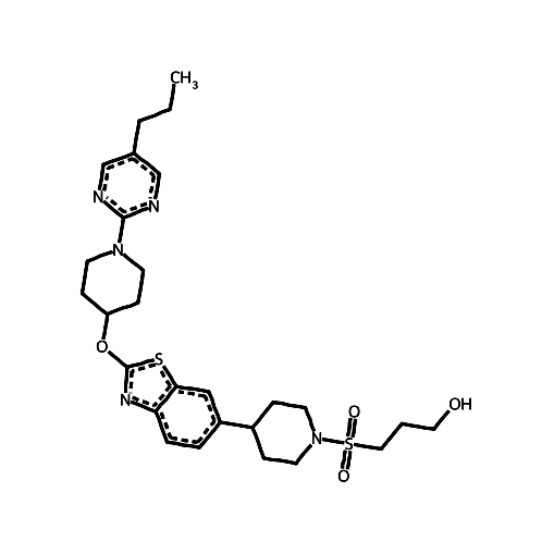 CCCc1cnc(N2CCC(Oc3nc4ccc(C5CCN(S(=O)(=O)CCCO)CC5)cc4s3)CC2)nc1